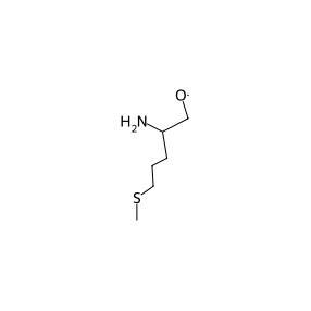 CSCCCC(N)C[O]